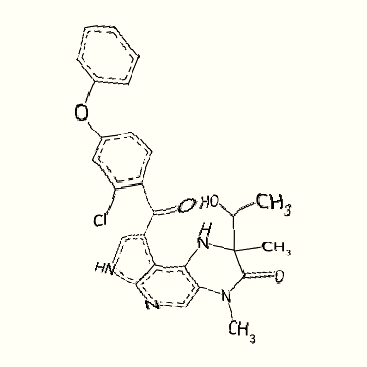 CC(O)C1(C)Nc2c(cnc3[nH]cc(C(=O)c4ccc(Oc5ccccc5)cc4Cl)c23)N(C)C1=O